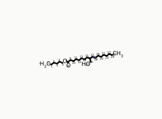 [CH2]CCCCCOC(=O)CCCCCCCC(/C=C/CCCCCCC)CO